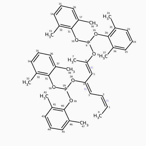 C\C=C/C=C(\C=C(/C)OP(Oc1c(C)cccc1C)Oc1c(C)cccc1C)OP(Oc1c(C)cccc1C)Oc1c(C)cccc1C